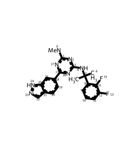 CNc1nc(NC(C)(C)c2cccc(F)c2F)nc(-c2ccc3cn[nH]c3c2)n1